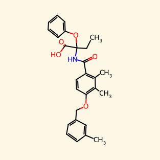 CCC(NC(=O)c1ccc(OCc2cccc(C)c2)c(C)c1C)(Oc1ccccc1)C(=O)O